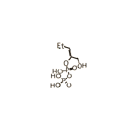 CCC=C(CO)OP(=O)(O)OP(=O)(O)O